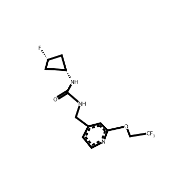 O=C(NCc1ccnc(OCC(F)(F)F)c1)N[C@H]1C[C@@H](F)C1